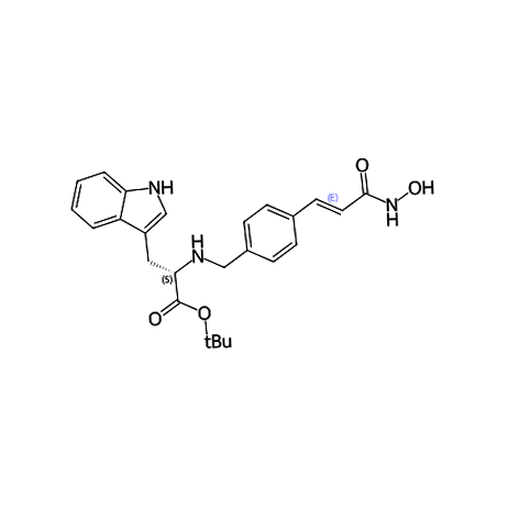 CC(C)(C)OC(=O)[C@H](Cc1c[nH]c2ccccc12)NCc1ccc(/C=C/C(=O)NO)cc1